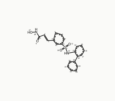 O=C(C=Cc1cccc(S(=O)(=O)Nc2ccccc2-c2ccccc2)c1)NO